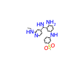 CCNc1cc(C(=N)c2cc(Nc3cccc(S(C)(=O)=O)c3)ccc2N)ccn1